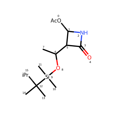 CC(=O)OC1NC(=O)C1C(C)O[Si](C)(C)C(C)(C)C(C)C